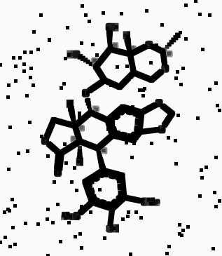 COc1cc([C@@H]2c3cc4c(cc3[C@@H](OC3CC5CO[C@@H](C)O[C@H]5[C@H](O)[C@H]3O)[C@H]3COC(=O)[C@H]23)OCO4)cc(OC)c1O